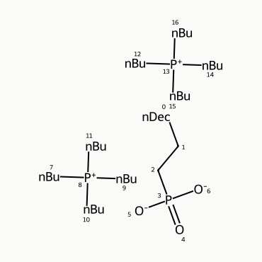 CCCCCCCCCCCCP(=O)([O-])[O-].CCCC[P+](CCCC)(CCCC)CCCC.CCCC[P+](CCCC)(CCCC)CCCC